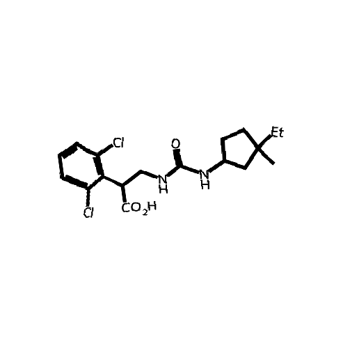 CCC1(C)CCC(NC(=O)NCC(C(=O)O)c2c(Cl)cccc2Cl)C1